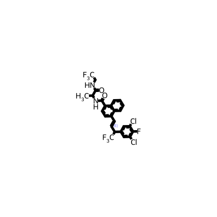 CC(NC(=O)c1ccc(/C=C/C(c2cc(Cl)c(F)c(Cl)c2)C(F)(F)F)c2ccccc12)C(=O)NCC(F)(F)F